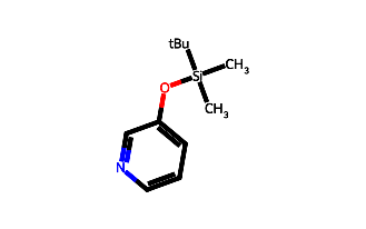 CC(C)(C)[Si](C)(C)Oc1cccnc1